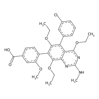 CCOc1c(-c2ccc(C(=O)O)cc2OC)c(OCC)c2nc(NC)nc(OCC)c2c1-c1cccc(Cl)c1